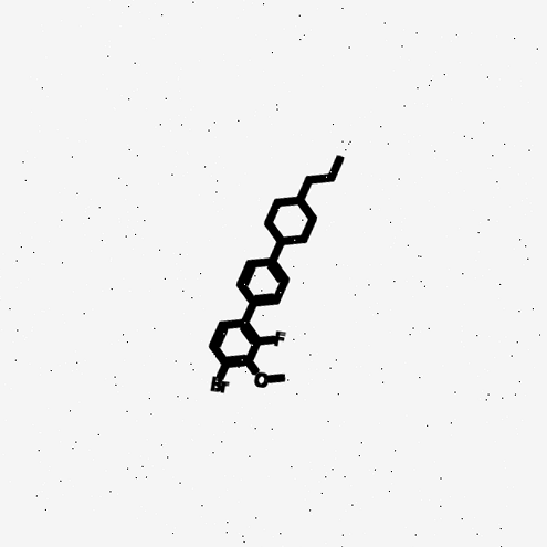 CCCC1CCC(c2ccc(-c3ccc(Br)c(OC)c3F)cc2)CC1